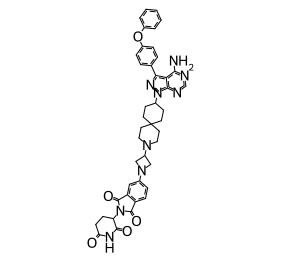 Nc1ncnc2c1c(-c1ccc(Oc3ccccc3)cc1)nn2C1CCC2(CC1)CCN(C1CN(c3ccc4c(c3)C(=O)N(C3CCC(=O)NC3=O)C4=O)C1)CC2